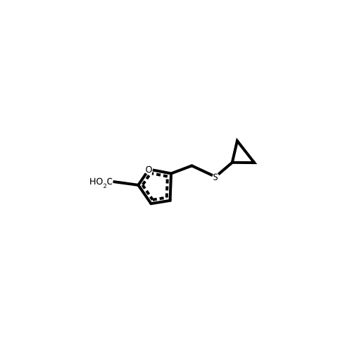 O=C(O)c1ccc(CSC2CC2)o1